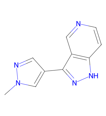 Cn1cc(-c2n[nH]c3ccncc23)cn1